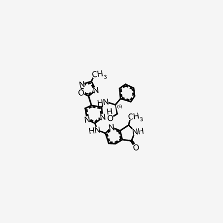 Cc1noc(-c2cnc(Nc3ccc4c(n3)C(C)NC4=O)nc2N[C@H](CO)c2ccccc2)n1